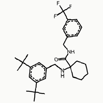 CC(C)(C)c1cc(CNC2(C(=O)NCc3cccc(C(F)(F)F)c3)CCCCC2)cc(C(C)(C)C)c1